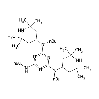 CCCCNc1nc(N(CCCC)C2CC(C)(C)NC(C)(C)C2)nc(N(CCCC)C2CC(C)(C)NC(C)(C)C2)n1